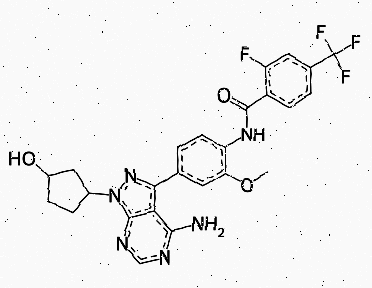 COc1cc(-c2nn(C3CCC(O)C3)c3ncnc(N)c23)ccc1NC(=O)c1ccc(C(F)(F)F)cc1F